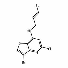 CC/C=C/CNc1cc(Cl)nc2c(Br)csc12